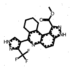 COC(=O)c1n[nH]c2ccc3nc(-c4c[nH]nc4C(F)(F)F)c4c(c3c12)CCCC4